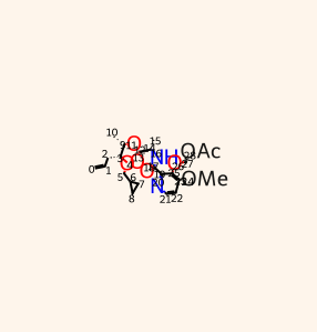 C=CC[C@@H](OCC1CC1)[C@H](C)OC(=O)[C@H](C)NC(=O)c1nccc(OC)c1OCOC(C)=O